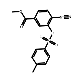 COC(=O)c1ccc([N+]#N)c(OS(=O)(=O)c2ccc(C)cc2)c1